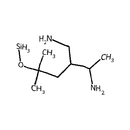 CC(N)C(CN)CC(C)(C)O[SiH3]